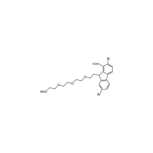 CCCCCCCCc1c(Br)ccc2c1C(CCOCCOCCOCCOC)c1cc(Br)ccc1-2